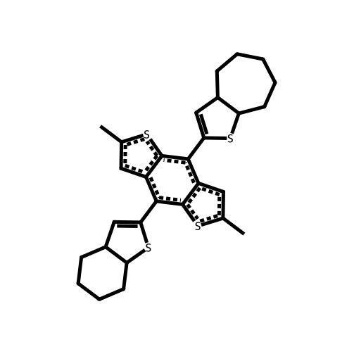 Cc1cc2c(C3=CC4CCCCC4S3)c3sc(C)cc3c(C3=CC4CCCCCC4S3)c2s1